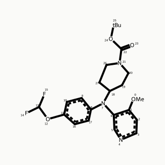 COc1ccncc1N(c1ccc(OC(F)F)cc1)C1CCN(C(=O)OC(C)(C)C)CC1